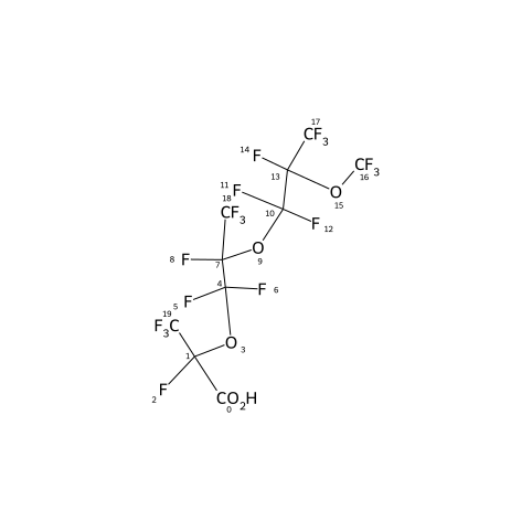 O=C(O)C(F)(OC(F)(F)C(F)(OC(F)(F)C(F)(OC(F)(F)F)C(F)(F)F)C(F)(F)F)C(F)(F)F